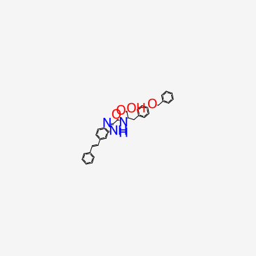 O=C(NC(Cc1ccc(OCc2ccccc2)cc1)C(=O)O)c1nc2ccc(/C=C/c3ccccc3)cc2[nH]1